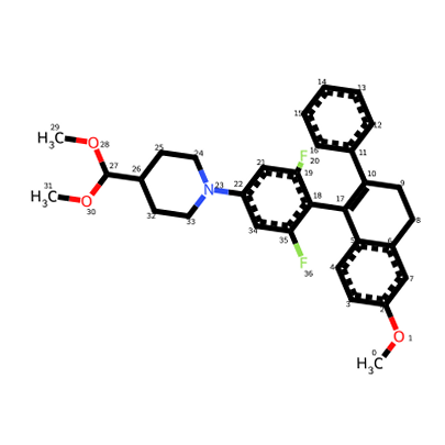 COc1ccc2c(c1)CCC(c1ccccc1)=C2c1c(F)cc(N2CCC(C(OC)OC)CC2)cc1F